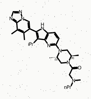 CCCN(C)CC(=O)N1C[C@H](C)N(c2ccc3[nH]c(-c4cn5ncnc5c(C)c4C)c(C(C)C)c3n2)C[C@H]1C